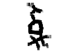 CC(=O)Nc1ccc(C(C)(O)C(F)(F)F)cc1